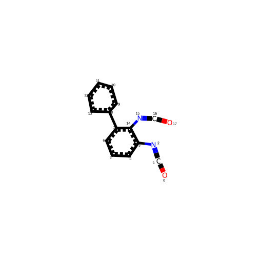 O=C=Nc1cccc(-c2ccccc2)c1N=C=O